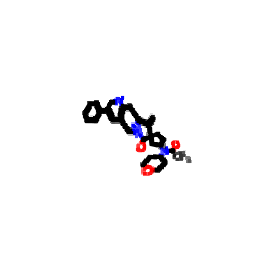 CC1C2Cc3ncc(-c4ccccc4)cc3CN2C(=O)[C@]12CC[C@@H](N(C(=O)C(F)(F)F)C1CCOCC1)C2